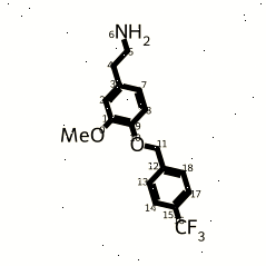 COc1cc(CCN)ccc1OCc1ccc(C(F)(F)F)cc1